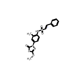 COc1nn(-c2ccc(NS(=O)(=O)/C=C/c3ccccc3)c(C)c2)c(=O)o1